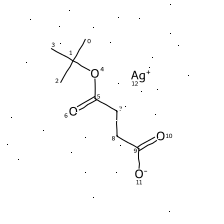 CC(C)(C)OC(=O)CCC(=O)[O-].[Ag+]